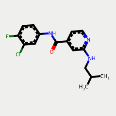 CC(C)CNc1cc(C(=O)Nc2ccc(F)c(Cl)c2)ccn1